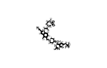 Cc1nc(NC2CCN(Cc3ccc4c(cc(C#N)n4C[C@H](C)N4CCN(C)S(=O)(=O)C4)c3C)CC2)c2cc(CC(F)(F)F)sc2n1